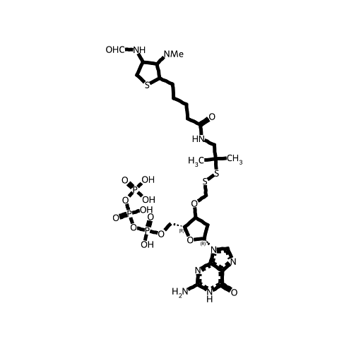 CNC1C(NC=O)CSC1CCCCC(=O)NCC(C)(C)SSCOC1C[C@H](n2cnc3c(=O)[nH]c(N)nc32)O[C@@H]1COP(=O)(O)OP(=O)(O)OP(=O)(O)O